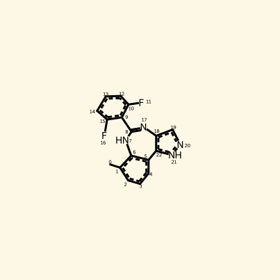 Cc1cccc2c1NC(c1c(F)cccc1F)=Nc1cn[nH]c1-2